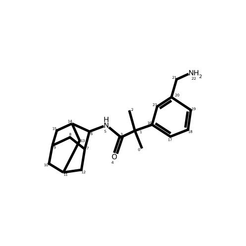 CC(C)(C(=O)NC1C2CC3CC(C2)CC1C3)c1cccc(CN)c1